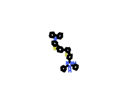 C1=CCCC(C2NC(c3ccc4c(c3)sc3c(-c5ccc6sc7ccc(-n8c9ccccc9c9ccccc98)cc7c6c5)cccc34)=NC(c3ccccc3)N2)=C1